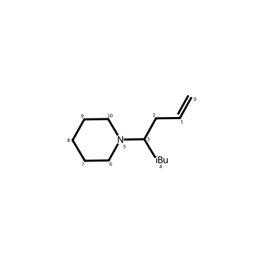 C=CCC(C(C)CC)N1CCCCC1